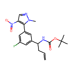 C=CCC(NC(=O)OC(C)(C)C)c1cc(F)cc(-c2c([N+](=O)[O-])cnn2C)c1